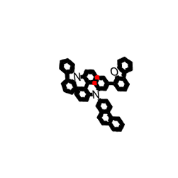 c1cc(-c2cccc3c2oc2ccccc23)cc(N(c2ccc3c(ccc4ccccc43)c2)c2ccccc2-c2ccccc2-n2c3ccccc3c3ccccc32)c1